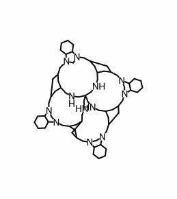 C1CCC2C(C1)N1CC3CC4CNCC56CNCC7CC(CC(C7)CN7CN(CC8CC(CNC5)CC(C8)CN5CN(CC8CC(CNC6)CC(C8)CN6CN(CC(C4)C3)C3CCCCC36)C3CCCCC35)C3CCCCC37)CN2C1